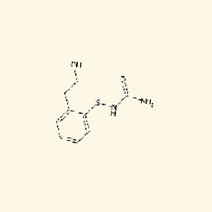 NC(=O)NSc1ccccc1CCO